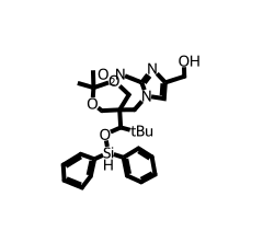 CC1(C)OCC(Cn2cc(CO)nc2[N+](=O)[O-])(C(O[SiH](c2ccccc2)c2ccccc2)C(C)(C)C)CO1